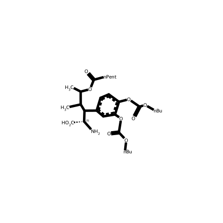 CCCCCC(=O)OC(C)C(C)C(c1ccc(OC(=O)OCCCC)c(OC(=O)OCCCC)c1)[C@H](N)C(=O)O